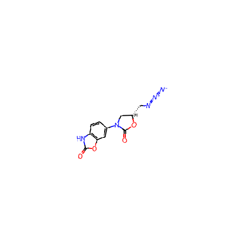 [N-]=[N+]=NC[C@H]1CN(c2ccc3[nH]c(=O)oc3c2)C(=O)O1